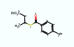 CCCc1ccc(C(=O)SC(C)CC(=O)OCC)cc1